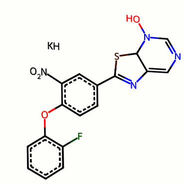 O=[N+]([O-])c1cc(C2=NC3=CN=CN(O)C3S2)ccc1Oc1ccccc1F.[KH]